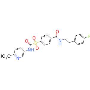 O=C(NCCc1ccc(F)cc1)c1ccc(S(=O)(=O)C(=O)Nc2ccc(C(=O)O)nc2)cc1